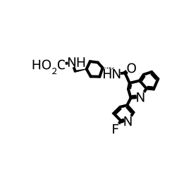 O=C(O)NC[C@H]1CC[C@H](CNC(=O)c2cc(-c3ccc(F)nc3)nc3ccccc23)CC1